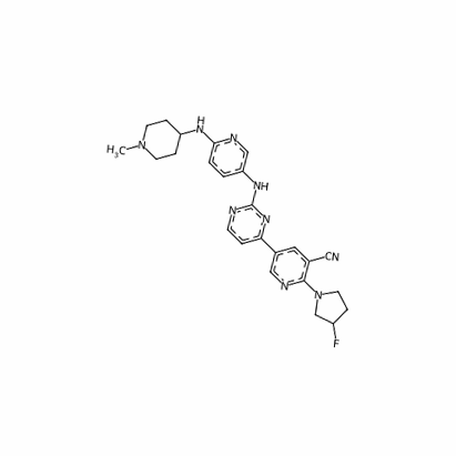 CN1CCC(Nc2ccc(Nc3nccc(-c4cnc(N5CCC(F)C5)c(C#N)c4)n3)cn2)CC1